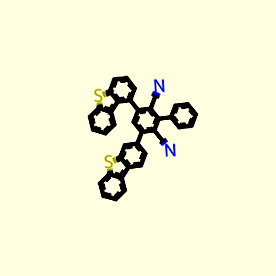 N#Cc1c(-c2ccc3c(c2)sc2ccccc23)cc(-c2cccc3sc4ccccc4c23)c(C#N)c1-c1ccccc1